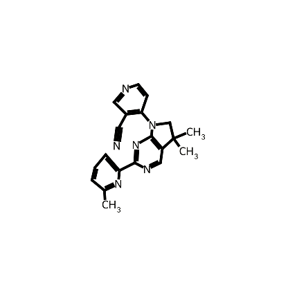 Cc1cccc(-c2ncc3c(n2)N(c2ccncc2C#N)CC3(C)C)n1